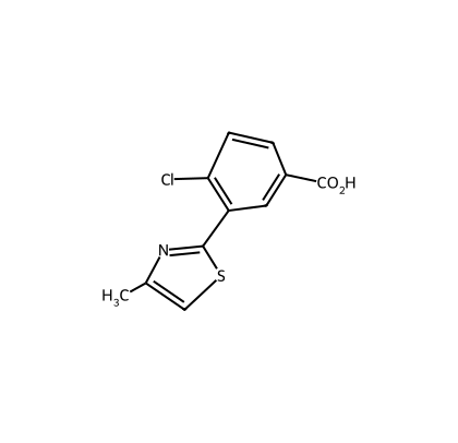 Cc1csc(-c2cc(C(=O)O)ccc2Cl)n1